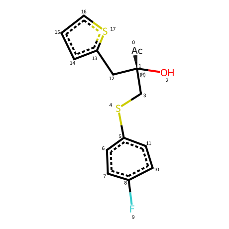 CC(=O)[C@@](O)(CSc1ccc(F)cc1)Cc1cccs1